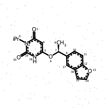 CC(C)n1c(=O)cc(O[C@@H](C)c2ccc3occc3c2)[nH]c1=O